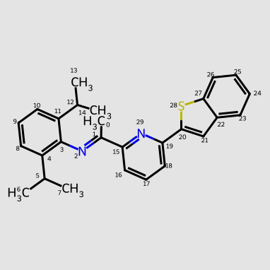 CC(=Nc1c(C(C)C)cccc1C(C)C)c1cccc(-c2cc3ccccc3s2)n1